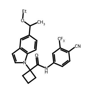 CCOC(C)c1ccc2c(ccn2C2(C(=O)Nc3ccc(C#N)c(C(F)(F)F)c3)CCC2)c1